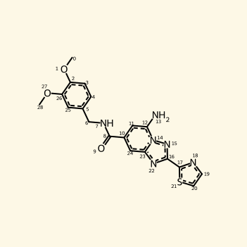 COc1ccc(CNC(=O)c2cc(N)n3nc(-c4nccs4)nc3c2)cc1OC